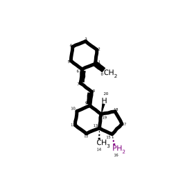 C=C1CCCC/C1=C/C=C1\CCC[C@]2(C)[C@@H](P)CC[C@@H]12